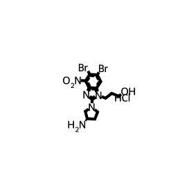 Cl.N[C@@H]1CCN(c2nc3c([N+](=O)[O-])c(Br)c(Br)cc3n2CCCO)C1